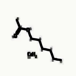 CCCCCCOC(C)=O.[CaH2]